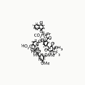 CC(C)OC(=O)c1cc(-n2c(=O)cc(C(F)(F)F)n(C)c2=O)ccc1Cl.COc1cc(OC)nc(NC(=O)NS(=O)(=O)c2nc(C(F)(F)F)ccc2C(=O)O)n1.O=C(O)COc1ccc(Cl)c2cccnc12